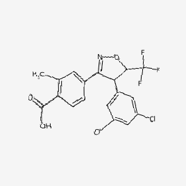 Cc1cc(C2=NOC(C(F)(F)F)C2c2cc(Cl)cc(Cl)c2)ccc1C(=O)O